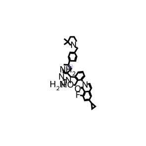 C/C(=C\c1c(N)nc(N)nc1-c1cccc(-n2ccc3cc(C4CC4)cc(F)c3c2=O)c1CO)c1ccc(CN2CCCC(C)(C)C2)cc1